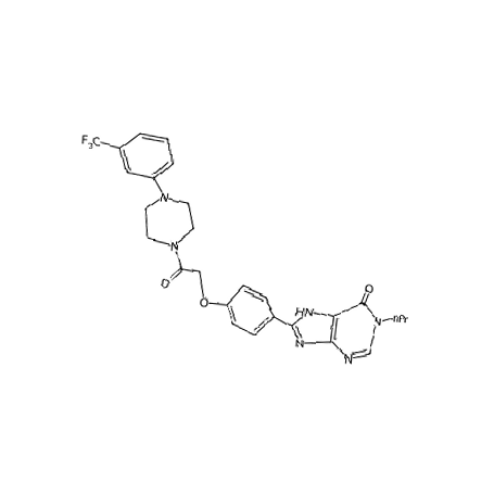 CCCn1cnc2nc(-c3ccc(OCC(=O)N4CCN(c5cccc(C(F)(F)F)c5)CC4)cc3)[nH]c2c1=O